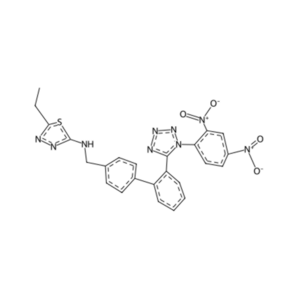 CCc1nnc(NCc2ccc(-c3ccccc3-c3nnnn3-c3ccc([N+](=O)[O-])cc3[N+](=O)[O-])cc2)s1